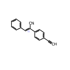 C#Cc1ccc(/C(C#N)=C/c2ccccc2)cc1